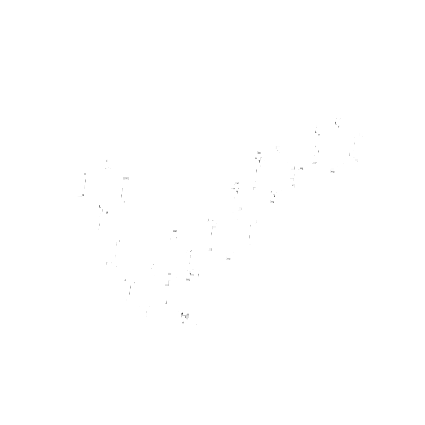 Nc1ccc(OCCN2CCOCC2)cc1NC(=O)c1cccc(Nc2ncc(-c3cccnn3)cn2)c1